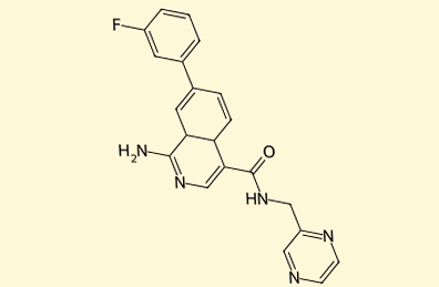 NC1=NC=C(C(=O)NCc2cnccn2)C2C=CC(c3cccc(F)c3)=CC12